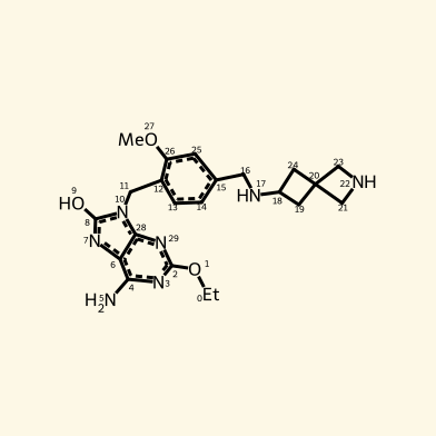 CCOc1nc(N)c2nc(O)n(Cc3ccc(CNC4CC5(CNC5)C4)cc3OC)c2n1